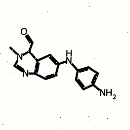 CN1C=Nc2ccc(Nc3ccc(N)cc3)cc2C1C=O